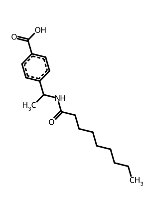 CCCCCCCCC(=O)NC(C)c1ccc(C(=O)O)cc1